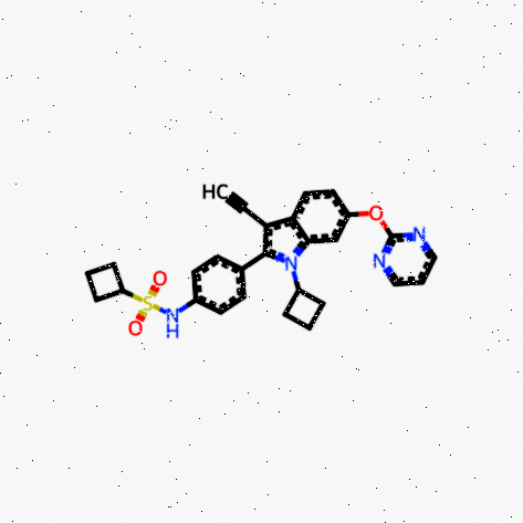 C#Cc1c(-c2ccc(NS(=O)(=O)C3CCC3)cc2)n(C2CCC2)c2cc(Oc3ncccn3)ccc12